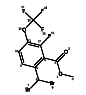 COC(=O)c1c(C(Br)Br)ccc(OC(F)(F)F)c1F